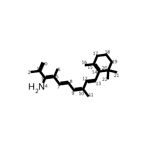 C=C(C)/C(N)=C(C)/C=C/C=C(C)\C=C\C1=C(C)CCCC1(C)C